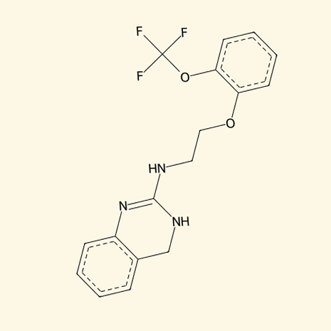 FC(F)(F)Oc1ccccc1OCCNC1=Nc2ccccc2CN1